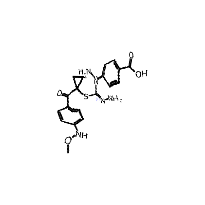 CONc1ccc(C(=O)C2(S/C(=N/N)N(N)c3ccc(C(=O)O)cc3)CC2)cc1